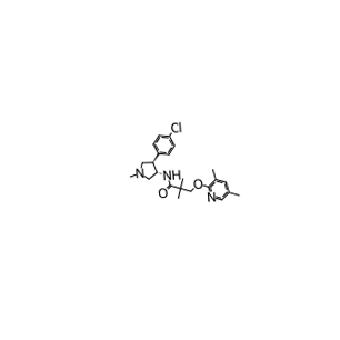 Cc1cnc(OCC(C)(C)C(=O)N[C@@H]2CN(C)C[C@H]2c2ccc(Cl)cc2)c(C)c1